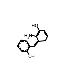 NC1=C(O)C=CCC1=Cc1ccccc1O